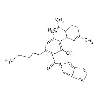 C=C(C)C1CCC(C)=CC1c1c(O)cc(CCCCC)c(C(=O)n2cc3ccccc3c2)c1O